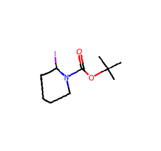 CC(C)(C)OC(=O)N1CCCCC1I